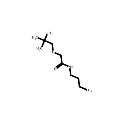 CCCCNC(=O)COCC(C)(C)C